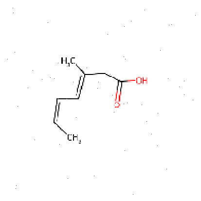 C/C=C\C=C(/C)CC(=O)O